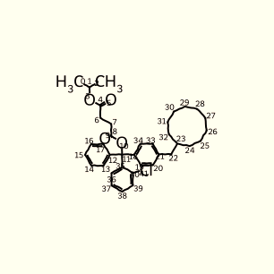 CC(C)OC(=O)CCC(=O)OC(c1ccccc1)(c1ccc(CC2CCCCCCCCC2)cc1)c1ccccc1Cl